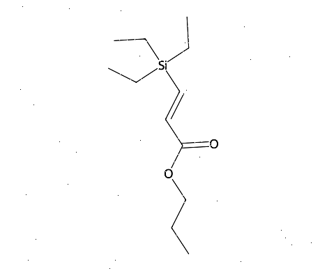 CCCOC(=O)C=C[Si](CC)(CC)CC